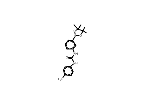 CC1(C)OB(c2cccc(NC(=O)Nc3ccc(C(F)(F)F)cc3)c2)OC1(C)C